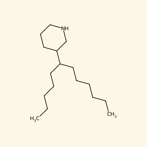 CCCCCCC(CCCCC)C1CCCNC1